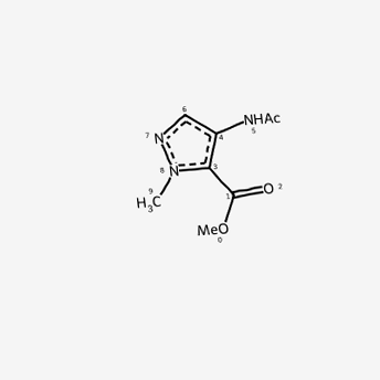 COC(=O)c1c(NC(C)=O)cnn1C